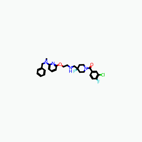 CN(Cc1ccccc1)c1cccc(OCCNCC2(F)CCN(C(=O)c3ccc(F)c(Cl)c3)CC2)n1